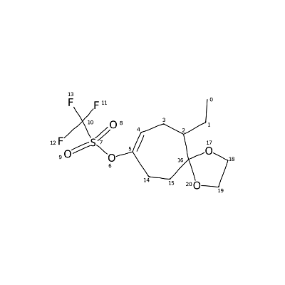 CCC1CC=C(OS(=O)(=O)C(F)(F)F)CCC12OCCO2